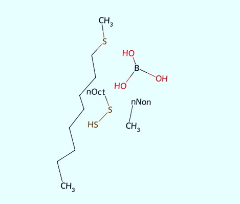 CCCCCCCCCC.CCCCCCCCSC.CCCCCCCCSS.OB(O)O